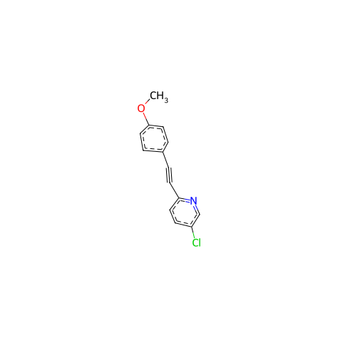 COc1ccc(C#Cc2ccc(Cl)cn2)cc1